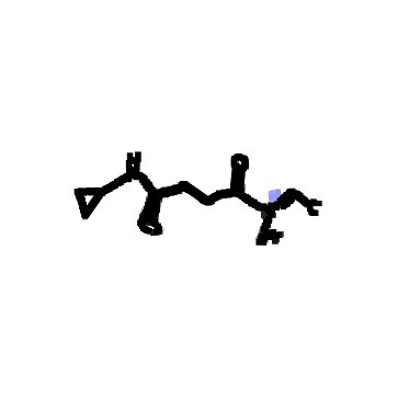 [CH2-]/C=[N+](/C(=O)CCC(=O)NC1CC1)C(C)C